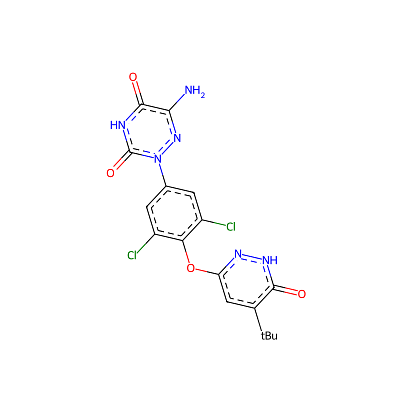 CC(C)(C)c1cc(Oc2c(Cl)cc(-n3nc(N)c(=O)[nH]c3=O)cc2Cl)n[nH]c1=O